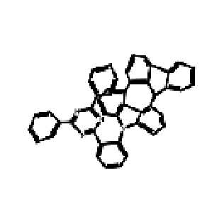 c1ccc(-c2nc(-c3ccccc3)nc(-c3ccccc3-n3c4cccc5c4c4c(cccc43)C3c4ccccc4-c4cccc-5c43)n2)cc1